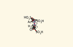 CC(=O)CCC1(C)\C(=C/C=C/C=C/C2=Nc3c(cc(Cl)c[n+]3CCCS(=O)(=O)O)C2(C)C)N(CCCS(=O)(=O)O)c2ccc(S(=O)(=O)O)cc21